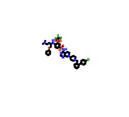 CN(C)CCC(CSc1ccccc1)Nc1ccc(S(=O)(=O)Nc2ncnc3c2CCN(C2CCN(Cc4ccccc4-c4ccc(Cl)cc4)CC2)C3)cc1S(=O)(=O)C(F)(F)F